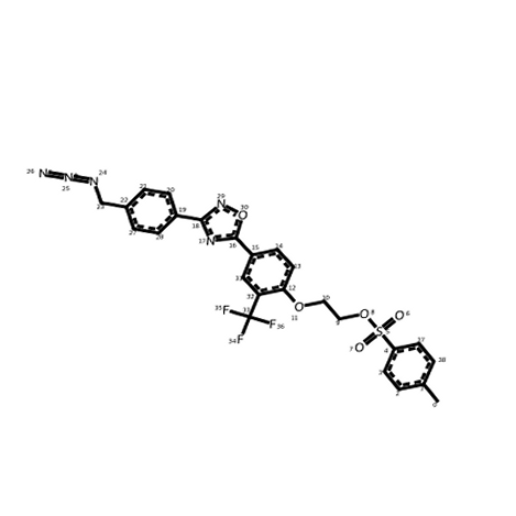 Cc1ccc(S(=O)(=O)OCCOc2ccc(-c3nc(-c4ccc(CN=[N+]=[N-])cc4)no3)cc2C(F)(F)F)cc1